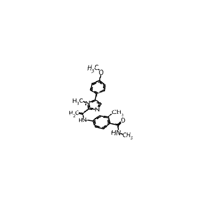 C=C(Nc1ccc(C(=O)NC)c(C)c1)c1ncc(-c2ccc(OC)cc2)n1C